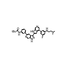 CN(C)CCNc1cc(F)cc(-c2cncc3[nH]c(-c4n[nH]c5cnc(-c6cccc(NC(=O)C(C)(C)C)c6)cc45)cc23)c1